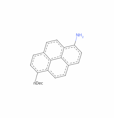 CCCCCCCCCCc1ccc2ccc3c(N)ccc4ccc1c2c43